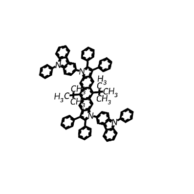 CC(C)(C)c1c2cc3c(-c4ccccc4)c(-c4ccccc4)n(-c4ccc5c(c4)c4ccccc4n5-c4ccccc4)c3cc2c(C(C)(C)C)c2cc3c(-c4ccccc4)c(-c4ccccc4)n(-c4ccc5c(c4)c4ccccc4n5-c4ccccc4)c3cc12